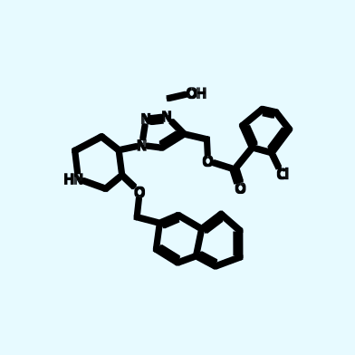 CO.O=C(OCc1cn(C2CCNCC2OCc2ccc3ccccc3c2)nn1)c1ccccc1Cl